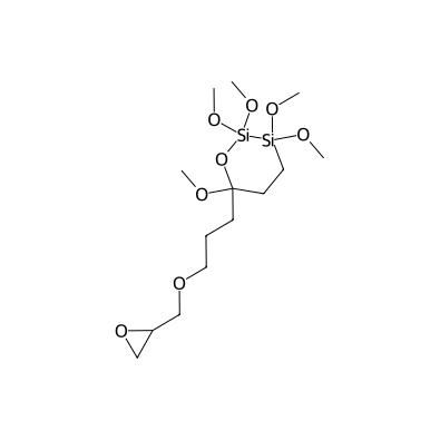 COC1(CCCOCC2CO2)CC[Si](OC)(OC)[Si](OC)(OC)O1